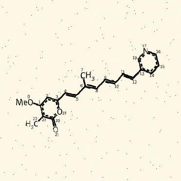 COc1cc(/C=C/C(C)=C/C=C/C=C/c2cccnc2)oc(=O)c1C